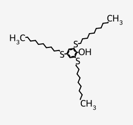 CCCCCCCCCCSc1cc(SCCCCCCCCCC)c(O)c(SCCCCCCCCCC)c1